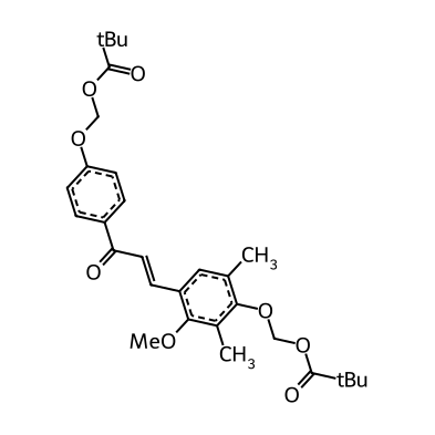 COc1c(C=CC(=O)c2ccc(OCOC(=O)C(C)(C)C)cc2)cc(C)c(OCOC(=O)C(C)(C)C)c1C